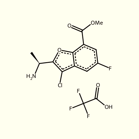 COC(=O)c1cc(F)cc2c(Cl)c([C@H](C)N)oc12.O=C(O)C(F)(F)F